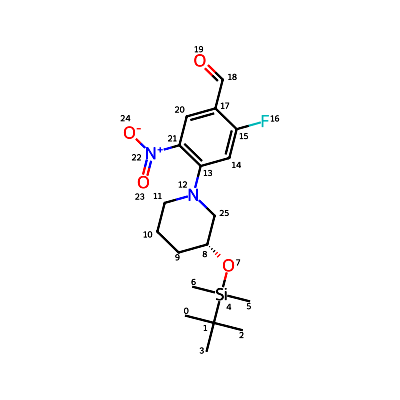 CC(C)(C)[Si](C)(C)O[C@@H]1CCCN(c2cc(F)c(C=O)cc2[N+](=O)[O-])C1